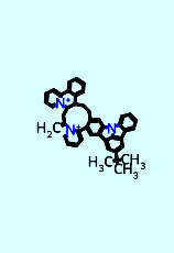 C=C1CC2C(CCc3cc4c(cc3-c3cccc[n+]31)c1cc(C(C)(C)C)cc3c5ccccc5n4c31)c1ccccc1-c1cccc[n+]12